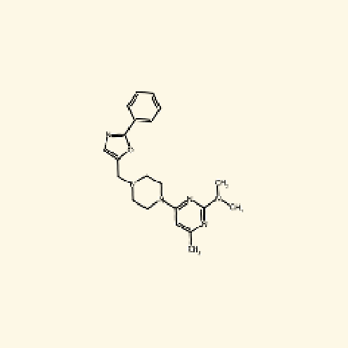 Cc1cc(N2CCN(Cc3cnc(-c4ccccc4)o3)CC2)nc(N(C)C)n1